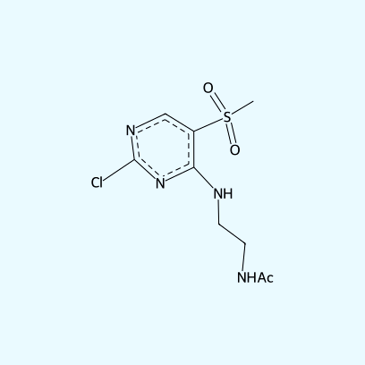 CC(=O)NCCNc1nc(Cl)ncc1S(C)(=O)=O